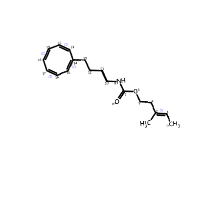 C/C=C(\C)CCOC(=O)NCCCCC1=C/C=C\C=C/C=C\1